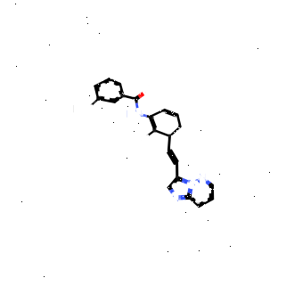 CC1=C(NC(=O)c2cccc(C(F)(F)F)c2)C=CCC1C#Cc1cnc2cccnn12